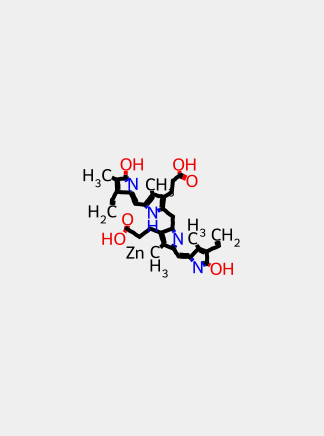 C=CC1=C(C)C(O)=NC1=Cc1[nH]c(CC2N=C(C=C3N=C(O)C(C=C)=C3C)C(C)=C2CCC(=O)O)c(CCC(=O)O)c1C.[Zn]